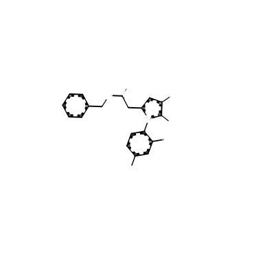 CCOC(=O)c1cc(C[C@H](C)OCc2ccccc2)n(-c2ccc(Cl)cc2Cl)c1C